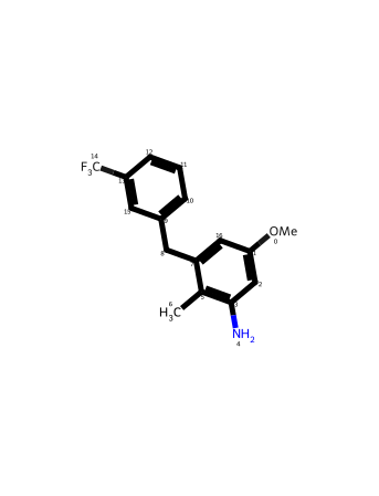 COc1cc(N)c(C)c(Cc2cccc(C(F)(F)F)c2)c1